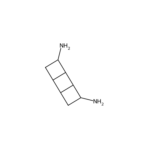 NC1CC2C3CC(N)C3C12